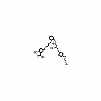 COCCOc1ccc(OCC(O)CNCc2ccccc2CCCCOc2ccc(O)c(C(N)=O)c2)cc1